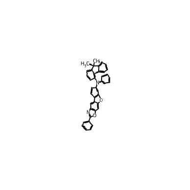 CC1(C)c2ccccc2-c2c(N(c3ccccc3)c3ccc4c(c3)oc3cc5oc(-c6ccccc6)nc5cc34)cccc21